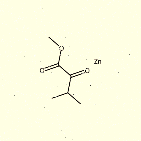 COC(=O)C(=O)C(C)C.[Zn]